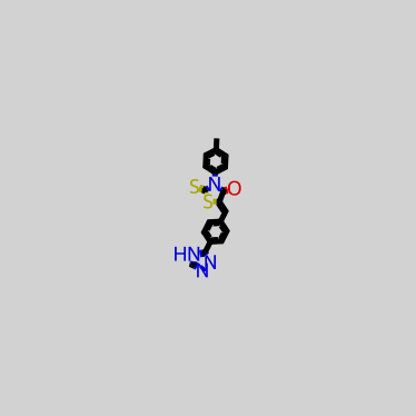 Cc1ccc(N2C(=O)/C(=C/c3ccc(-c4nnc[nH]4)cc3)SC2=S)cc1